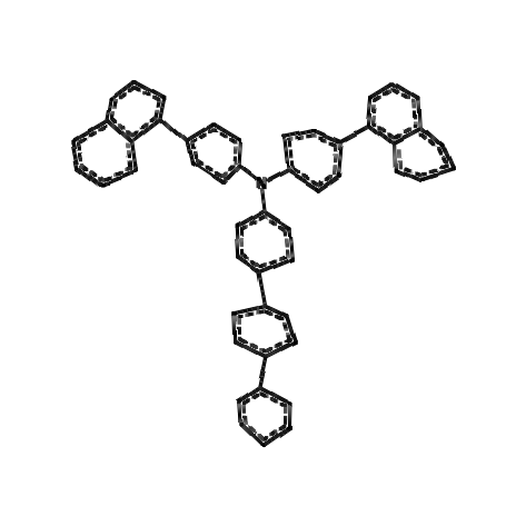 c1ccc(-c2ccc(-c3ccc(N(c4ccc(-c5cccc6ccccc56)cc4)c4ccc(-c5cccc6ccccc56)cc4)cc3)cc2)cc1